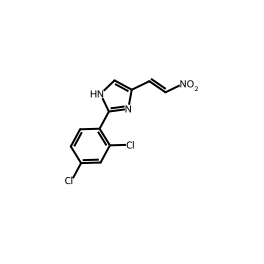 O=[N+]([O-])C=Cc1c[nH]c(-c2ccc(Cl)cc2Cl)n1